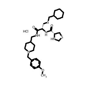 COc1ccc(CN2CCC(CNC(=O)[C@H](CSCC3CCCCC3)NC(=O)[C@@H]3CSCN3)CC2)cc1.Cl